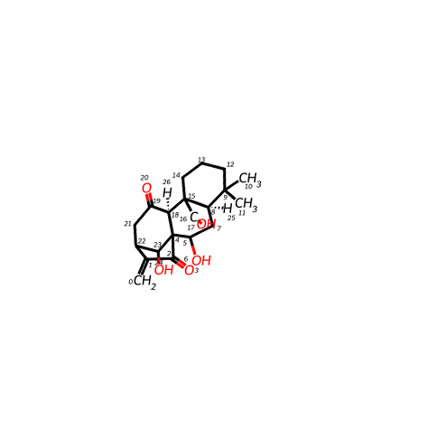 C=C1C(=O)C23C(O)C[C@@H]4C(C)(C)CCCC4(CO)[C@@H]2C(=O)CC1C3O